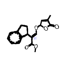 COC(=O)/C(=C/OC1C=C(C)C(=O)O1)C1CCc2ccccc21